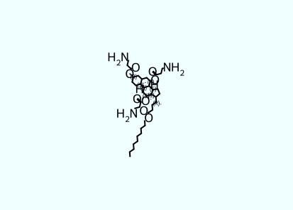 CCCCCCCCCCOC(=O)CC[C@@H](C)C1CC[C@H]2C3[C@H](OC(=O)CCN)CC4C[C@H](OC(=O)CCN)CC[C@]4(C)[C@H]3C[C@H](OC(=O)CCN)[C@]12C